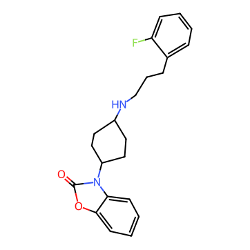 O=c1oc2ccccc2n1C1CCC(NCCCc2ccccc2F)CC1